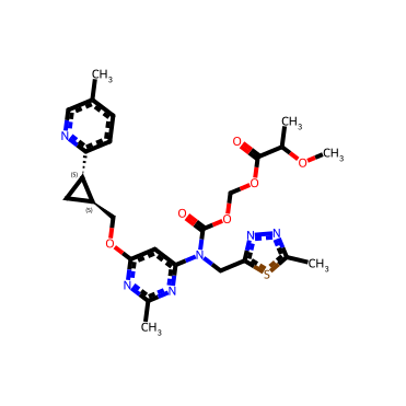 COC(C)C(=O)OCOC(=O)N(Cc1nnc(C)s1)c1cc(OC[C@H]2C[C@@H]2c2ccc(C)cn2)nc(C)n1